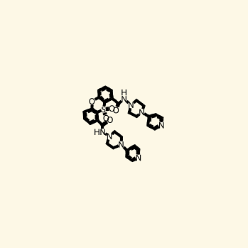 O=C(NN1CCN(c2ccncc2)CC1)c1cccc2c1S(=O)(=O)c1c(cccc1C(=O)NN1CCN(c3ccncc3)CC1)O2